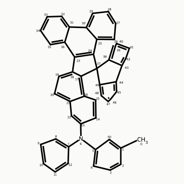 Cc1cccc(N(c2ccccc2)c2ccc3c4c(ccc3c2)-c2c(c3ccccc3c3ccccc23)C42c3ccccc3-c3ccccc32)c1